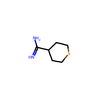 N=C(N)C1CCSCC1